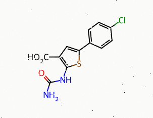 NC(=O)Nc1sc(-c2ccc(Cl)cc2)cc1C(=O)O